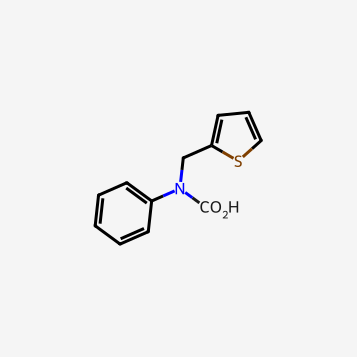 O=C(O)N(Cc1cccs1)c1ccccc1